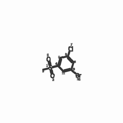 CS(=O)(=O)c1cc(Cl)cc(Br)c1